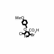 COc1ccc(COc2c(Cl)ncc(Br)c2C(=O)O)cc1